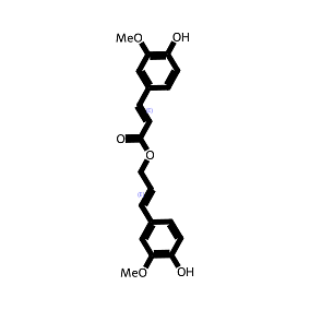 COc1cc(/C=C/COC(=O)/C=C/c2ccc(O)c(OC)c2)ccc1O